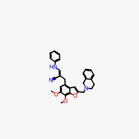 COc1cc(C/C(C#N)=C/Nc2ccccc2)c2cc(CN3CCc4ccccc4C3)oc2c1OC